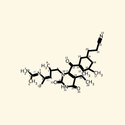 C/C(N)=N\C(F)=C/C(C)Cn1c(C(=O)C2=CC(C)CC(CCC#N)C2)c(C(C)C)c(=O)[nH]c1=O